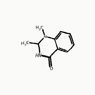 CC1NC(=O)c2ccccc2N1C